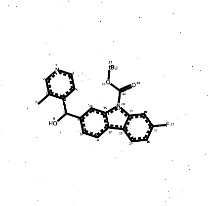 Cc1cnccc1C(O)c1ccc2c3ccc(F)cc3n(C(=O)OC(C)(C)C)c2c1